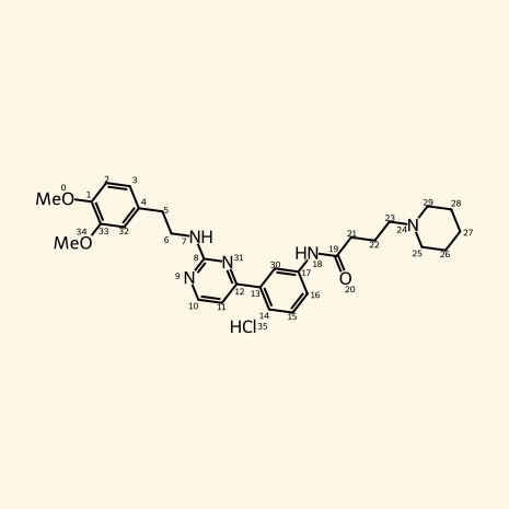 COc1ccc(CCNc2nccc(-c3cccc(NC(=O)CCCN4CCCCC4)c3)n2)cc1OC.Cl